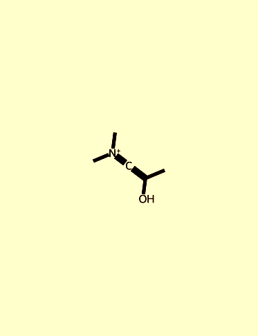 CC(O)=C=[N+](C)C